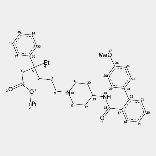 CCCOC(=O)CC(CC)(CCCN1CCC(NC(=O)c2ccccc2-c2ccc(OC)cc2)CC1)c1ccccc1